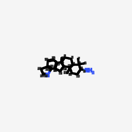 CC12CCC3C(C)(C)C(N)CCC3(C)C1Cc1c2ccc2c1N=CC2